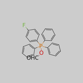 O=COP(c1ccccc1)(c1ccccc1)(c1ccccc1)c1ccc(F)cc1